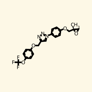 C[C@@]1(COc2ccc(-n3cc(COc4ccc(OC(F)(F)F)cc4)nn3)cc2)CO1